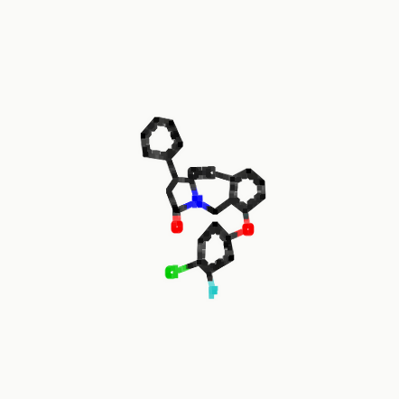 O=Cc1cccc(Oc2ccc(Cl)c(F)c2)c1CN1CC(c2ccccc2)CC1=O